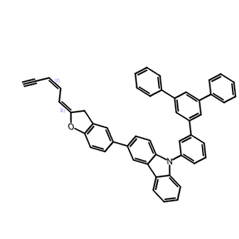 C#C/C=C\C=C1/Cc2cc(-c3ccc4c(c3)c3ccccc3n4-c3cccc(-c4cc(-c5ccccc5)cc(-c5ccccc5)c4)c3)ccc2O1